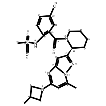 Cc1cc(N2CC(C)C2)nc2cc([C@@H]3CCCCN3C(=O)c3cc(Cl)ccc3NS(C)(=O)=O)nn12